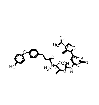 C=C1C(c2cc(NC(=O)OC(C)[C@@H](C(=O)O)N(N)C(=O)CCc3ccc(Oc4ccc(O)cc4)cc3)nc(=O)[nH]2)OC[C@H]1C(O)O